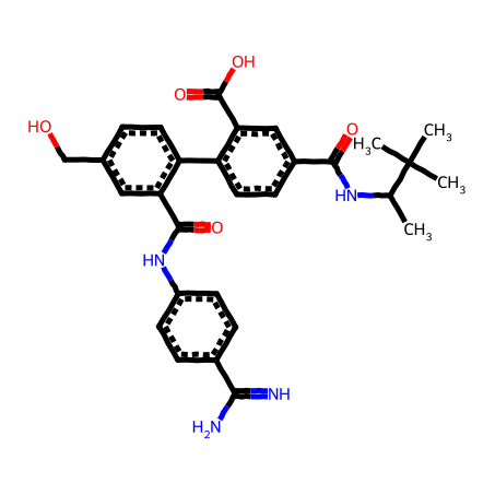 CC(NC(=O)c1ccc(-c2ccc(CO)cc2C(=O)Nc2ccc(C(=N)N)cc2)c(C(=O)O)c1)C(C)(C)C